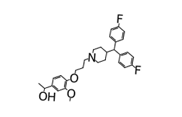 COc1cc(C(C)O)ccc1OCCCN1CCC(C(c2ccc(F)cc2)c2ccc(F)cc2)CC1